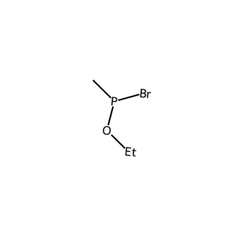 CCOP(C)Br